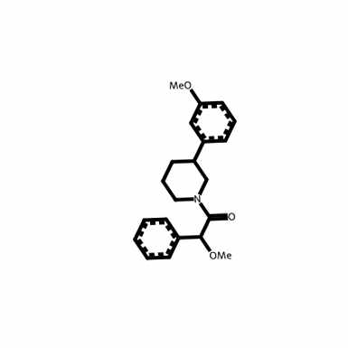 COc1cccc(C2CCCN(C(=O)C(OC)c3ccccc3)C2)c1